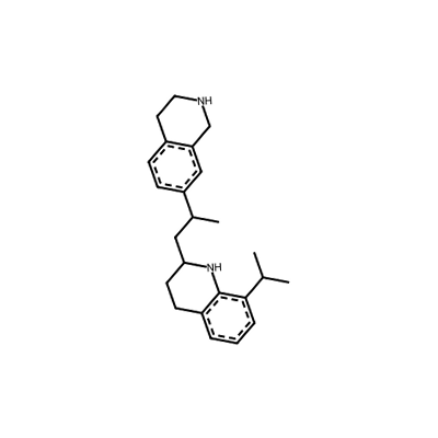 CC(C)c1cccc2c1NC(CC(C)c1ccc3c(c1)CNCC3)CC2